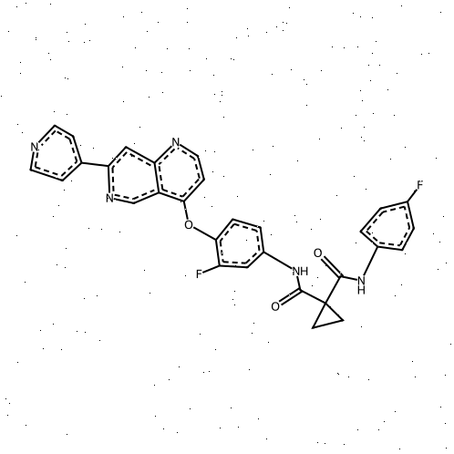 O=C(Nc1ccc(F)cc1)C1(C(=O)Nc2ccc(Oc3ccnc4cc(-c5ccncc5)ncc34)c(F)c2)CC1